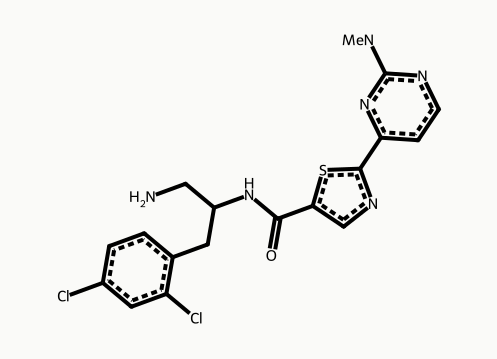 CNc1nccc(-c2ncc(C(=O)NC(CN)Cc3ccc(Cl)cc3Cl)s2)n1